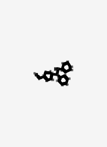 O=Cc1ccc(N(Nc2ccccc2)c2ccccc2)cc1